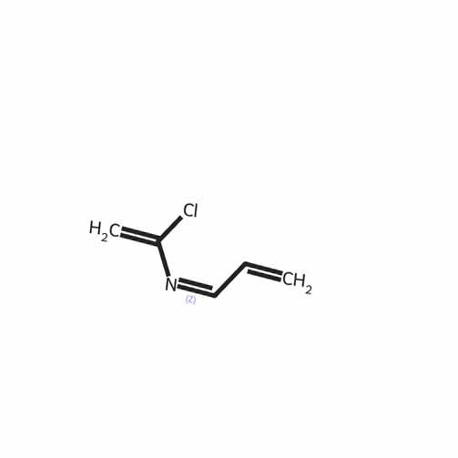 C=C/C=N\C(=C)Cl